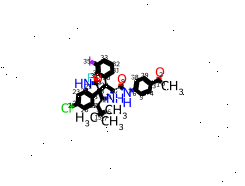 CC(=O)c1ccc(NC(=O)[C@@H]2N[C@@H](CC(C)(C)C)[C@@]3(C(=O)Nc4cc(Cl)ccc43)[C@H]2c2cccc(I)c2F)cc1